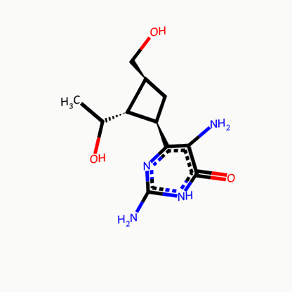 CC(O)[C@@H]1[C@@H](CO)C[C@H]1c1nc(N)[nH]c(=O)c1N